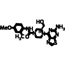 COc1ccc(NC(=O)N2CCN(c3nc(N)nc4scnc34)[C@H](CO)C2)c(C)c1